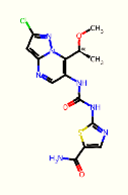 CO[C@@H](C)c1c(NC(=O)Nc2ncc(C(N)=O)s2)cnc2cc(Cl)nn12